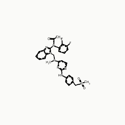 CC(=O)N(c1cccc(F)c1F)c1nc2ccccc2n1CN(C)c1ccnc(Nc2ccc(CS(C)(=O)=O)cc2)n1